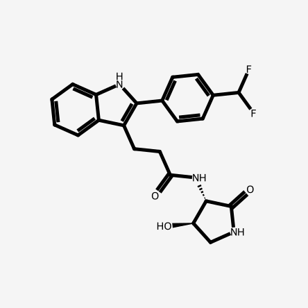 O=C(CCc1c(-c2ccc(C(F)F)cc2)[nH]c2ccccc12)N[C@@H]1C(=O)NC[C@H]1O